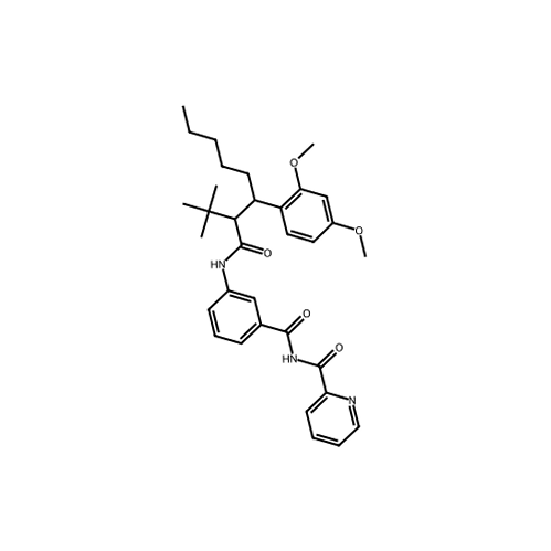 CCCCCC(c1ccc(OC)cc1OC)C(C(=O)Nc1cccc(C(=O)NC(=O)c2ccccn2)c1)C(C)(C)C